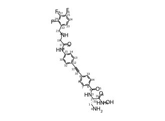 NC[C@H](NC(=O)c1ccc(C#Cc2ccc(NC(=O)CNCc3ccc(F)c(F)c3F)cc2)cc1)C(=O)NO